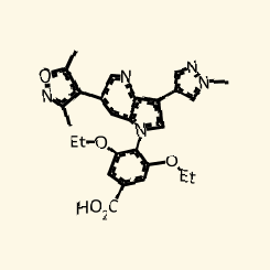 CCOc1cc(C(=O)O)cc(OCC)c1-n1cc(-c2cnn(C)c2)c2ncc(-c3c(C)noc3C)cc21